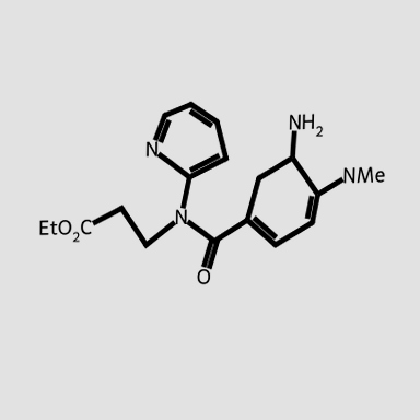 CCOC(=O)CCN(C(=O)C1=CC=C(NC)C(N)C1)c1ccccn1